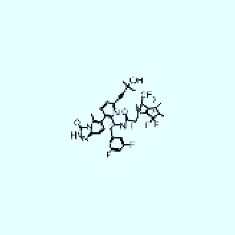 Cc1c(-c2ccc(C#CC(C)(C)O)nc2[C@H](Cc2cc(F)cc(F)c2)NC(=O)Cn2nc(C(F)(F)F)c3c2C(F)(F)C(C)[C@@H]3C)ccc2n[nH]c(=O)n12